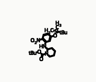 CC(C)(C)OC(=O)N1CCCCC1Nc1cc(O[Si](C)(C)C(C)(C)C)ccc1[N+](=O)[O-]